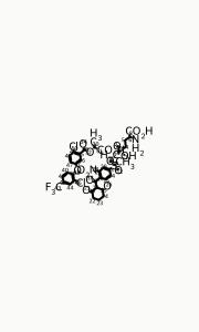 CP(=O)(O)CCC(N)C(=O)O.CS(=O)(=O)c1ccc(C(=O)C2C(=O)CCCC2=O)c([N+](=O)[O-])c1.C[C@H](OC(=O)c1cc(Oc2ccc(C(F)(F)F)cc2Cl)ccc1Cl)C(=O)O